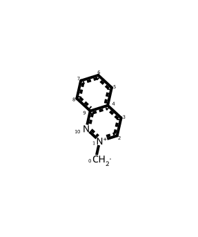 [CH2][n+]1ccc2ccccc2n1